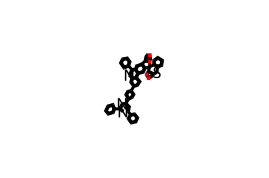 c1ccc(-c2cc(-c3ccc(-c4ccc5c(c4)nc(-c4ccccc4)c4cc6c(cc45)C4(c5ccccc5Sc5ccccc54)c4ccccc4-6)cc3)nc(-c3ccccc3)n2)cc1